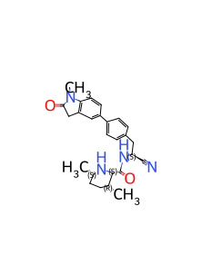 C[C@@H]1CC[C@H](C)N[C@@H]1C(=O)N[C@H](C#N)Cc1ccc(-c2ccc3c(c2)CC(=O)N3C)cc1